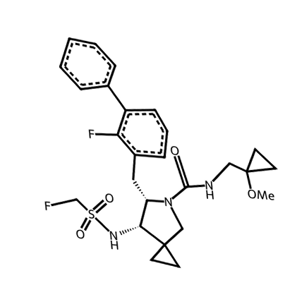 COC1(CNC(=O)N2CC3(CC3)[C@H](NS(=O)(=O)CF)[C@@H]2Cc2cccc(-c3ccccc3)c2F)CC1